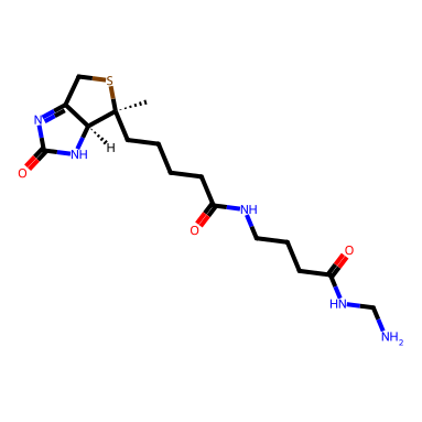 C[C@@]1(CCCCC(=O)NCCCC(=O)NCN)SCC2=NC(=O)N[C@@H]21